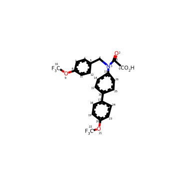 O=C(O)C(=O)N(Cc1ccc(OC(F)(F)F)cc1)c1ccc(-c2ccc(OC(F)(F)F)cc2)cc1